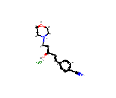 Cl.N#Cc1ccc(C=CC(=O)CCN2CCOCC2)cc1